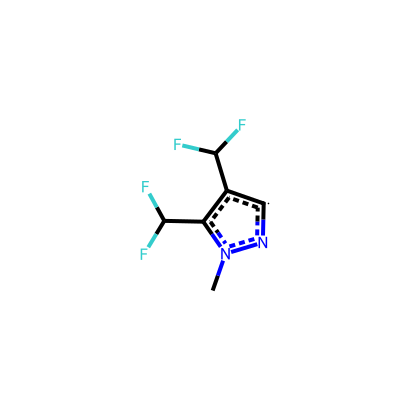 Cn1n[c]c(C(F)F)c1C(F)F